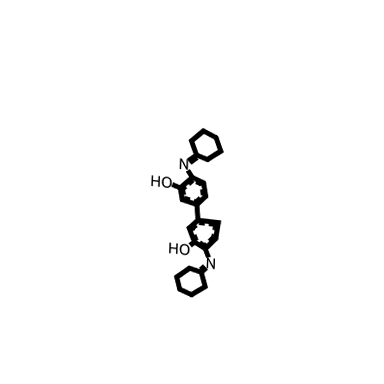 Oc1cc(-c2ccc(N=C3CCCCC3)c(O)c2)ccc1N=C1CCCCC1